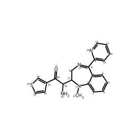 CN1c2ccccc2C(c2ccccn2)=NCC1C(N)C(=O)c1ccsc1